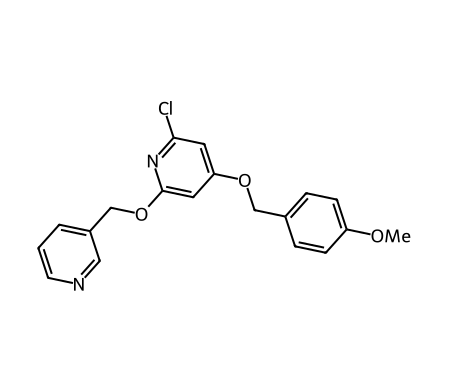 COc1ccc(COc2cc(Cl)nc(OCc3cccnc3)c2)cc1